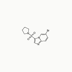 O=S(=O)(c1cnc2ccc(Br)cn12)N1CCCC1